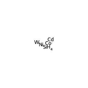 [Cd].[Co].[Ni].[SiH4].[W]